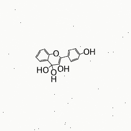 OC1=C(c2ccc(O)cc2)Oc2ccccc2C1(O)O